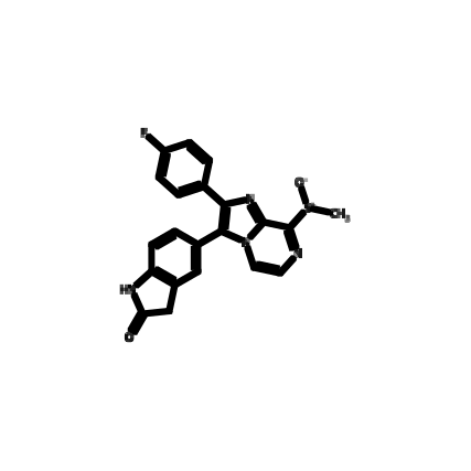 C[S+]([O-])c1nccn2c(-c3ccc4c(c3)CC(=O)N4)c(-c3ccc(F)cc3)nc12